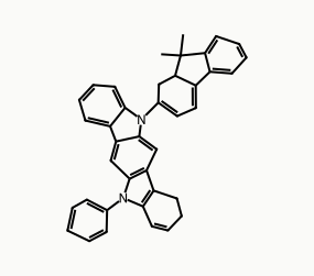 CC1(C)c2ccccc2C2=CC=C(n3c4ccccc4c4cc5c(cc43)c3c(n5-c4ccccc4)C=CCC3)CC21